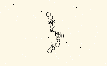 O=S(=O)(CC1CCCCC1)c1cccc(OC[C@@H](O)CNC2COC3(CCN(S(=O)(=O)c4ccc5ccccc5c4)CC3)C2)c1